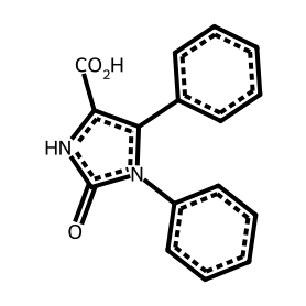 O=C(O)c1[nH]c(=O)n(-c2ccccc2)c1-c1ccccc1